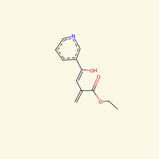 C=C(/C=C(\O)c1cccnc1)C(=O)OCC